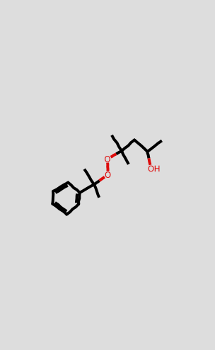 CC(O)CC(C)(C)OOC(C)(C)c1ccccc1